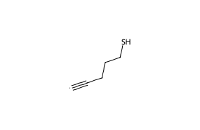 [C]#CCCCS